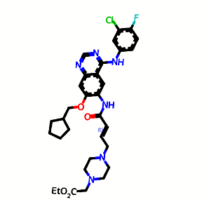 CCOC(=O)CN1CCN(C/C=C/C(=O)Nc2cc3c(Nc4ccc(F)c(Cl)c4)ncnc3cc2OCC2CCCC2)CC1